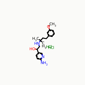 COc1cccc(CCC(C)(C)NCC(O)c2ccc(N)nc2)c1.Cl.Cl